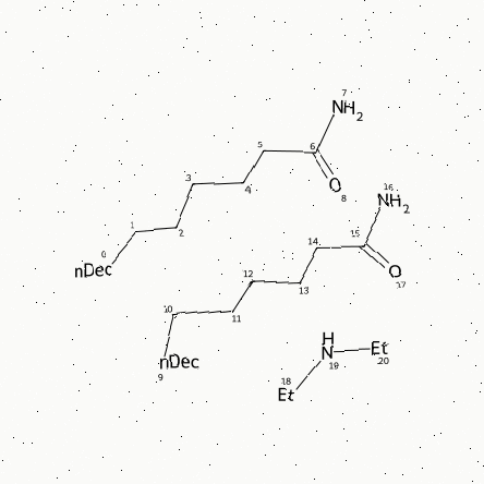 CCCCCCCCCCCCCCCC(N)=O.CCCCCCCCCCCCCCCC(N)=O.CCNCC